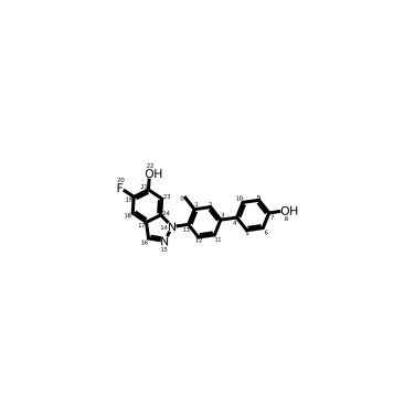 Cc1cc(-c2ccc(O)cc2)ccc1-n1ncc2cc(F)c(O)cc21